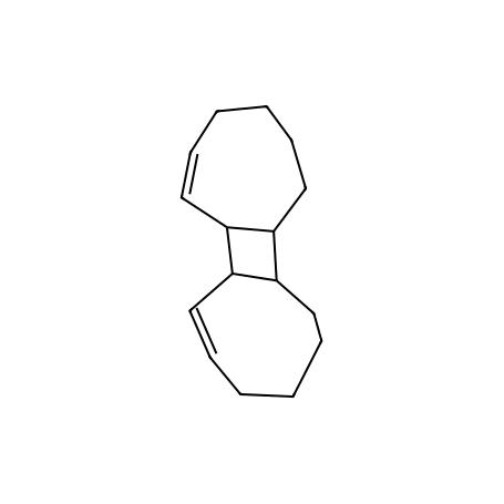 C1=CC2C3C=CCCCCC3C2CCCC1